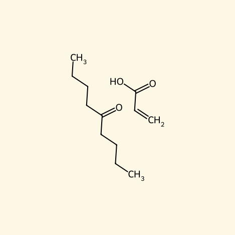 C=CC(=O)O.CCCCC(=O)CCCC